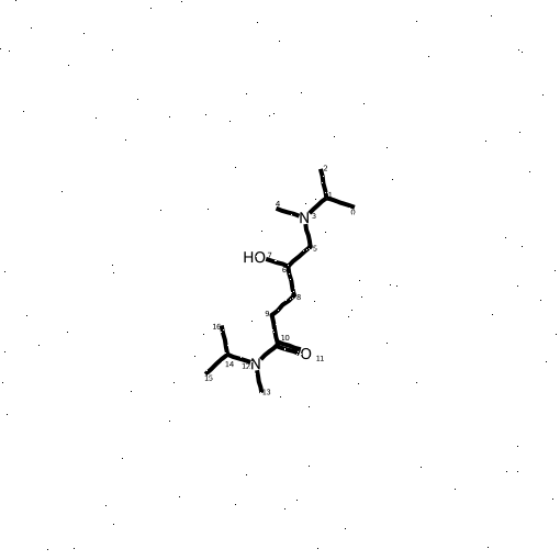 CC(C)N(C)CC(O)CCC(=O)N(C)C(C)C